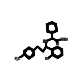 CNC(=O)C(NC(CCc1ccc(C(F)(F)F)cc1)c1ccccc1Cl)c1ccccc1